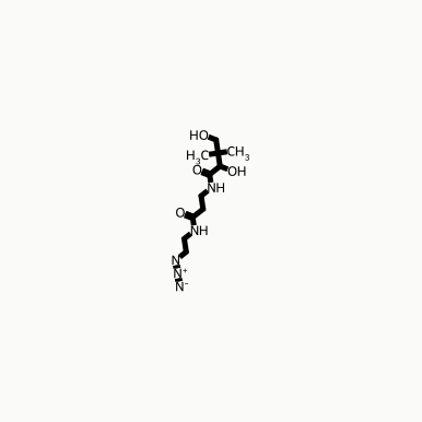 CC(C)(CO)C(O)C(=O)NCCC(=O)NCCN=[N+]=[N-]